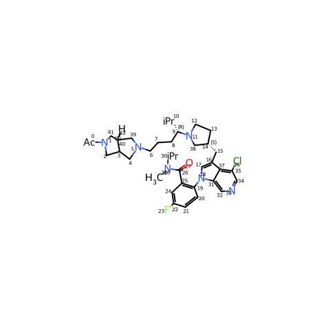 CC(=O)N1CC2CN(CCC[C@H](C(C)C)N3CC[C@H](Cc4cn(-c5ccc(F)cc5C(=O)N(C)C(C)C)c5cncc(Cl)c45)C3)C[C@H]2C1